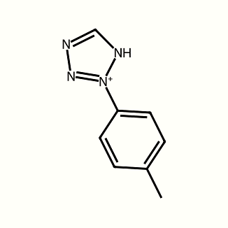 Cc1ccc(-[n+]2nnc[nH]2)cc1